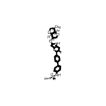 CNS(=O)(=O)Nc1ccc(-c2ccc(-c3nc4cc(O[C@@H]5CO[C@H]6[C@@H]5OC[C@H]6O)[nH]c4cc3F)cc2)cc1